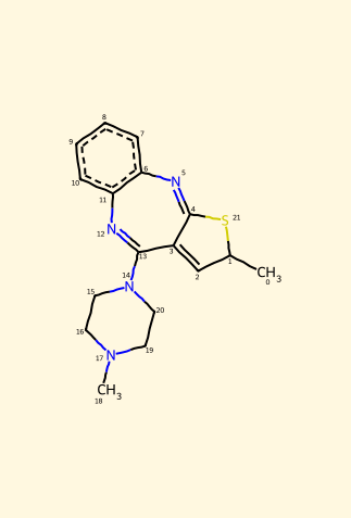 CC1C=C2C(=Nc3ccccc3N=C2N2CCN(C)CC2)S1